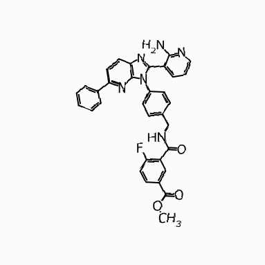 COC(=O)c1ccc(F)c(C(=O)NCc2ccc(-n3c(-c4cccnc4N)nc4ccc(-c5ccccc5)nc43)cc2)c1